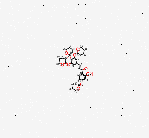 O=C(C=Cc1cc(OC2CCCCO2)c(OC2CCCCO2)c(OC2CCCCO2)c1)c1ccc(OC2CCCCO2)cc1O